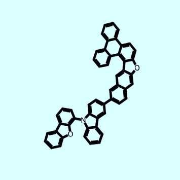 c1ccc2c(c1)oc1c(-n3c4ccccc4c4cc(-c5ccc6cc7oc8ccc9c%10ccccc%10c%10ccccc%10c9c8c7cc6c5)ccc43)cccc12